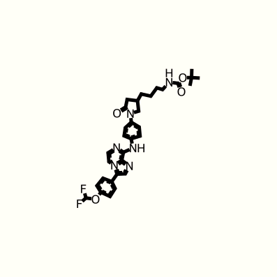 CC(C)(C)OC(=O)NCCCCC1CC(=O)N(c2ccc(Nc3nccn4c(-c5ccc(OC(F)F)cc5)cnc34)cc2)C1